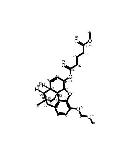 COCOc1ccc2c3c1OC1C(OC(=O)CCCC(=O)OC)C=C[C@H]4[C@@H](C2)N(C)CC[C@]314